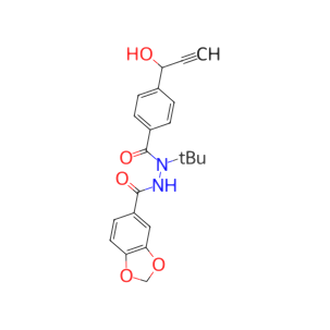 C#CC(O)c1ccc(C(=O)N(NC(=O)c2ccc3c(c2)OCO3)C(C)(C)C)cc1